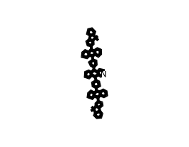 CC1(C)c2ccccc2-c2ccc(-c3c4ccccc4c(-c4ccc(-c5c6ccccc6c(-c6ccc(-c7c8ccccc8c(-c8ccc9c(c8)C(C)(C)c8ccccc8-9)c8ccccc78)cc6)c6cnccc56)cc4)c4ccccc34)cc21